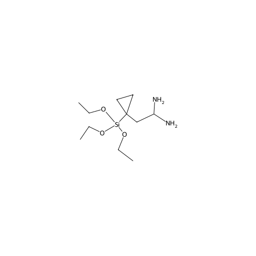 CCO[Si](OCC)(OCC)C1(CC(N)N)CC1